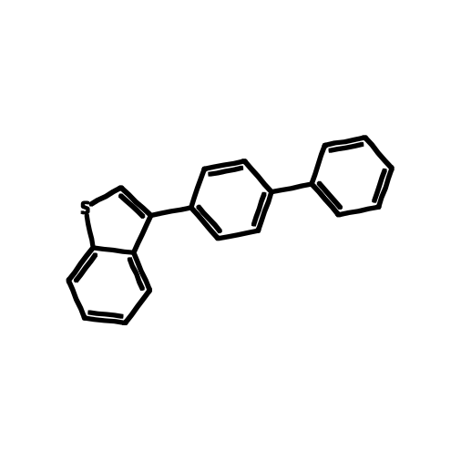 c1ccc(-c2ccc(-c3csc4ccccc34)cc2)cc1